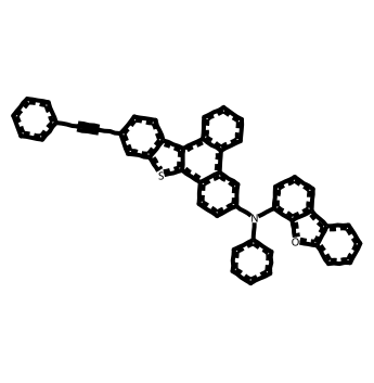 C(#Cc1ccc2c(c1)sc1c3ccc(N(c4ccccc4)c4cccc5c4oc4ccccc45)cc3c3ccccc3c21)c1ccccc1